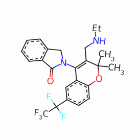 CCNCC1=C(N2Cc3ccccc3C2=O)c2cc(C(F)(F)C(F)(F)F)ccc2OC1(C)C